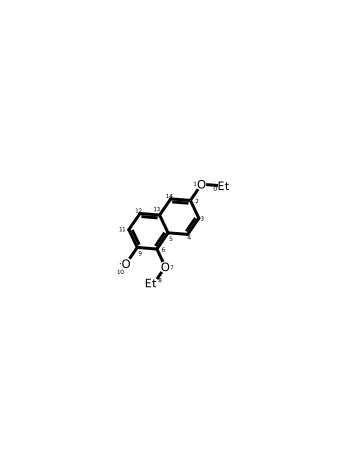 CCOc1ccc2c(OCC)c([O])ccc2c1